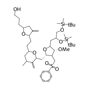 C=C1CC(CCCO)OC1CCC1CC(C)C(=C)C(C[C@@H]2OC(CC(CO[Si](C)(C)C(C)(C)C)O[Si](C)(C)C(C)(C)C)[C@H](OC)C2CS(=O)(=O)c2ccccc2)O1